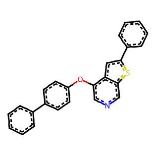 c1ccc(-c2ccc(Oc3cncc4sc(-c5ccccc5)cc34)cc2)cc1